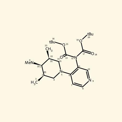 CN[C@@H]1[C@H](C)CN(c2ccncc2N(C(=O)OC(C)(C)C)C(=O)OC(C)(C)C)C[C@@H]1C